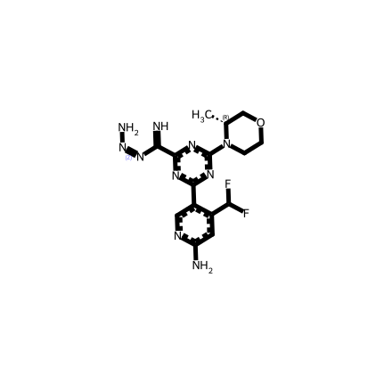 C[C@@H]1COCCN1c1nc(C(=N)/N=N\N)nc(-c2cnc(N)cc2C(F)F)n1